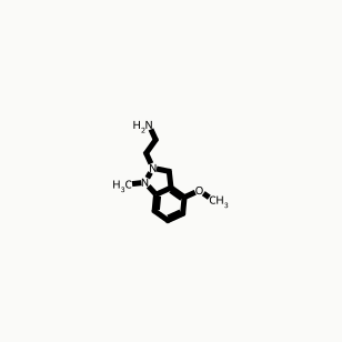 COc1cccc2c1CN(CCN)N2C